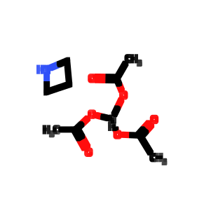 C1CNC1.CC(=O)O[SiH](OC(C)=O)OC(C)=O